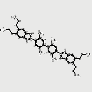 CCCc1cc2nn(-c3cc(C)c(-c4cc(C)c(-n5nc6cc(CCC)c(CCC)cc6n5)cc4C)cc3C)nc2cc1CCC